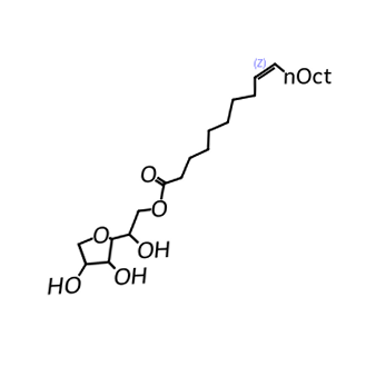 CCCCCCCC/C=C\CCCCCCCC(=O)OCC(O)C1OCC(O)C1O